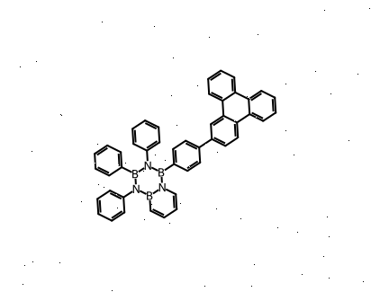 C1=CB2N(C=C1)B(c1ccc(-c3ccc4c5ccccc5c5ccccc5c4c3)cc1)N(c1ccccc1)B(c1ccccc1)N2c1ccccc1